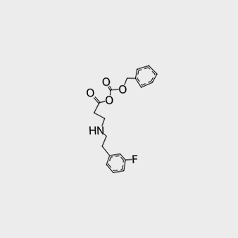 O=C(CCNCCc1cccc(F)c1)OC(=O)OCc1ccccc1